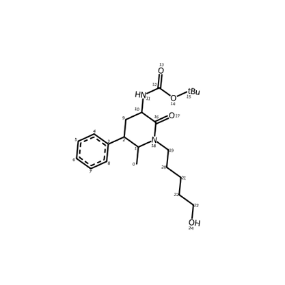 CC1C(c2ccccc2)CC(NC(=O)OC(C)(C)C)C(=O)N1CCCCCO